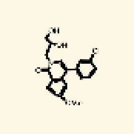 COc1ccc2c(=O)n(CC(O)CO)cc(-c3cccc(Cl)c3)c2c1